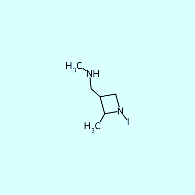 CNCC1CN(I)C1C